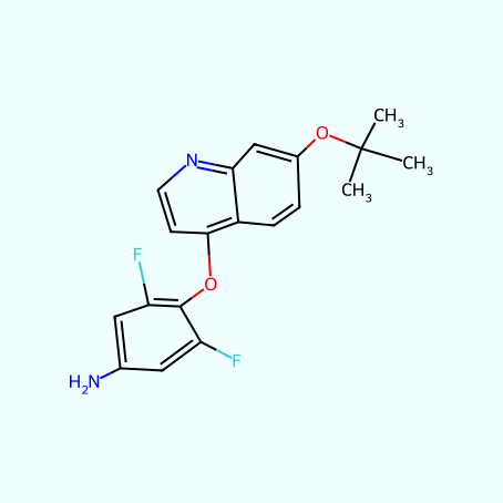 CC(C)(C)Oc1ccc2c(Oc3c(F)cc(N)cc3F)ccnc2c1